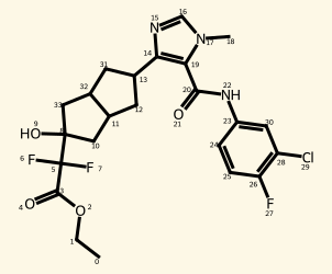 CCOC(=O)C(F)(F)C1(O)CC2CC(c3ncn(C)c3C(=O)Nc3ccc(F)c(Cl)c3)CC2C1